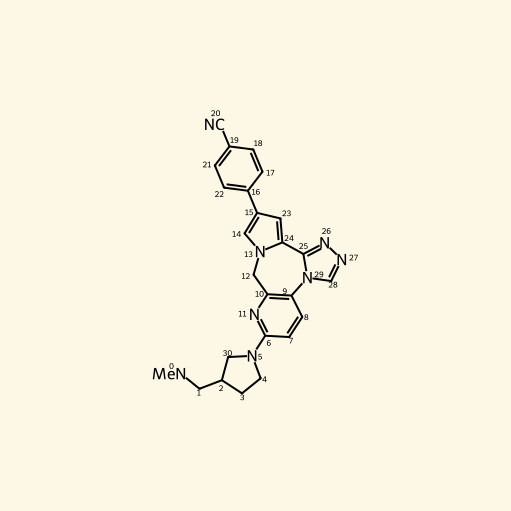 CNCC1CCN(c2ccc3c(n2)Cn2cc(-c4ccc(C#N)cc4)cc2-c2nncn2-3)C1